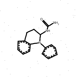 NC(=O)NC1CCc2ccccc2N1c1ccccc1